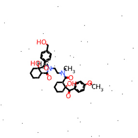 COc1ccc(C(=O)C2(O)CCCCC2C(=O)N(C)CCN(C)C(=O)C2CCCCC2(O)C(=O)c2ccc(CO)cc2)cc1